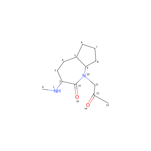 CNC1CCC2CCCC2N(CC(C)=O)C1=O